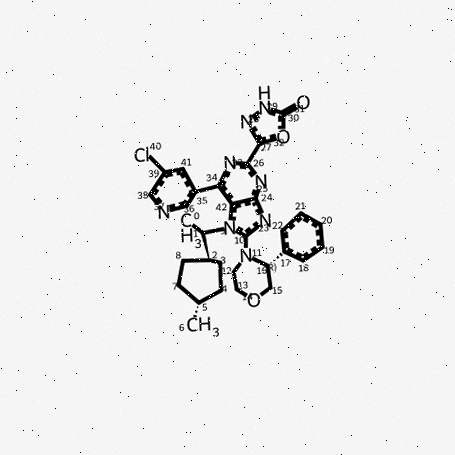 CC([C@H]1CC[C@H](C)CC1)n1c(N2CCOC[C@H]2c2ccccc2)nc2nc(-c3n[nH]c(=O)o3)nc(-c3cncc(Cl)c3)c21